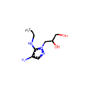 CCNc1c(N)cnn1CC(O)CO